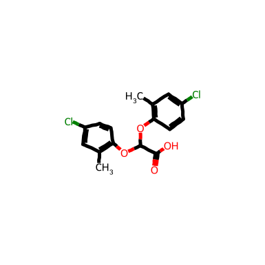 Cc1cc(Cl)ccc1OC(Oc1ccc(Cl)cc1C)C(=O)O